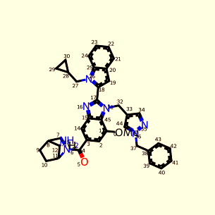 COc1cc(C(=O)N2CC3CCC2[C@@H]3N)cc2nc(-c3cc4ccccc4n3CC3CC3)n(Cc3cnn(Cc4ccccc4)c3)c12